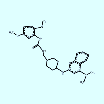 COc1ccc(OC)c(NC(=O)NCC2CCC(Nc3nc(N(C)C)c4ccccc4n3)CC2)c1